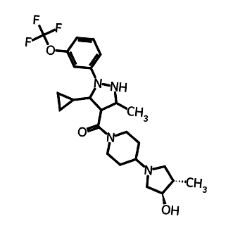 CC1NN(c2cccc(OC(F)(F)F)c2)C(C2CC2)C1C(=O)N1CCC(N2C[C@H](C)[C@@H](O)C2)CC1